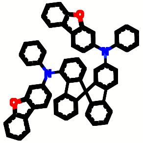 c1ccc(N(c2ccc3c(c2)C2(c4ccccc4-3)c3ccccc3-c3c(N(c4ccccc4)c4ccc5c(c4)oc4ccccc45)cccc32)c2ccc3c(c2)oc2ccccc23)cc1